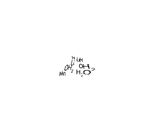 O.O.O.[LiH].[LiH].[Mn]